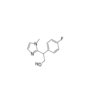 Cn1ccnc1C(CO)c1ccc(F)cc1